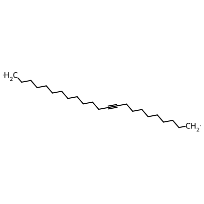 [CH2]CCCCCCCCC#CCCCCCCCCCCC[CH2]